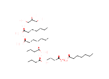 CCCC(=O)O.CCCC(=O)O.CCCC(=O)O.CCCCCCC(=O)O.CCCCCCC(=O)O.CCCCCCC(=O)O.OCC(O)CO